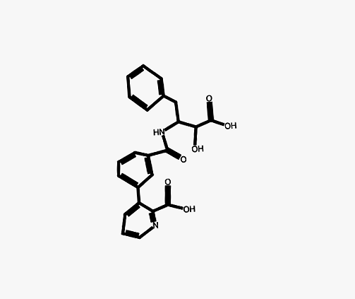 O=C(NC(Cc1ccccc1)C(O)C(=O)O)c1cccc(-c2cccnc2C(=O)O)c1